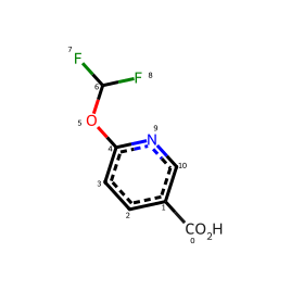 O=C(O)c1ccc(OC(F)F)nc1